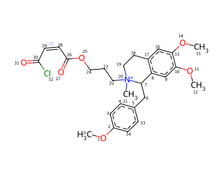 COc1ccc(CC2c3cc(OC)c(OC)cc3CC[N+]2(C)CCCOC(=O)/C=C\C(=O)Cl)cc1